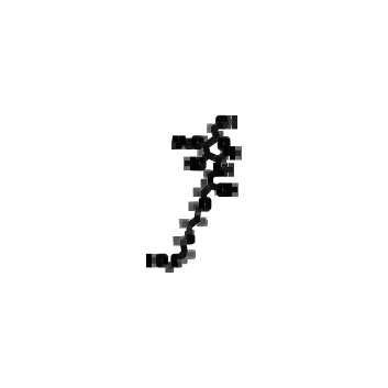 COC1C(CO)OPC(NCC(O)COCCCSCCC(=O)O)C1O